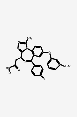 CCNC(=O)C[C@@H]1N=C(c2ccc(Cl)cc2)c2cc(Oc3cccc(NC(C)=O)c3)ccc2-n2c(C)nnc21